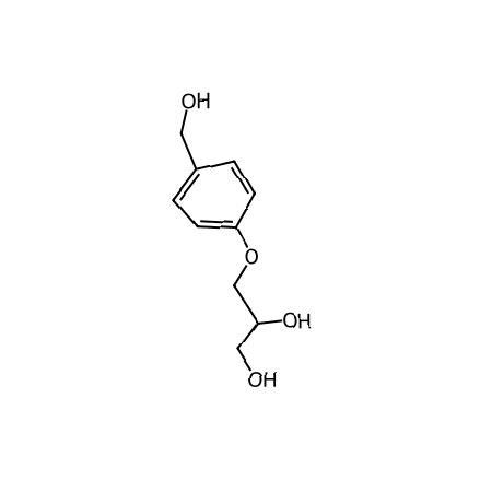 OCc1ccc(OCC(O)CO)cc1